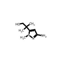 Cn1nc(N)cc1C(C)(C)CO